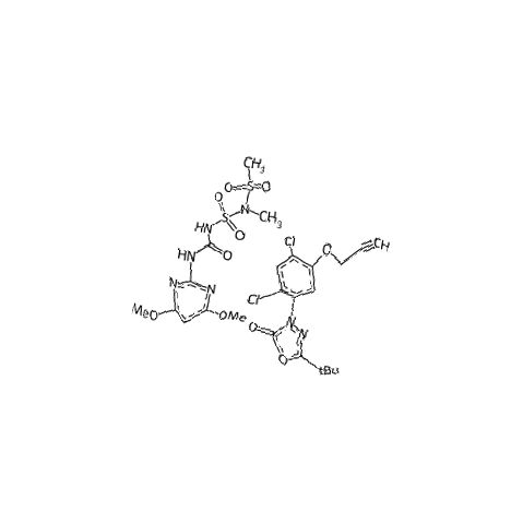 C#CCOc1cc(-n2nc(C(C)(C)C)oc2=O)c(Cl)cc1Cl.COc1cc(OC)nc(NC(=O)NS(=O)(=O)N(C)S(C)(=O)=O)n1